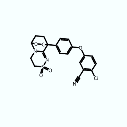 N#Cc1cc(Oc2ccc(C34CCC(CC3)N3CCS(=O)(=O)N=C34)cc2)ccc1Cl